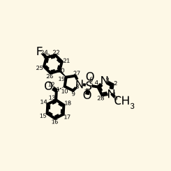 Cn1cnc(S(=O)(=O)N2C[C@H](C(=O)c3ccccc3)[C@@H](c3ccc(F)cc3)C2)c1